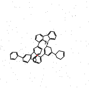 C1=CCC(C2=CC(c3ccccc3)=CC(n3c4ccccc4c4cccc(-c5ccc6oc7ccc(-c8ccccc8)cc7c6c5)c43)C2)CC1